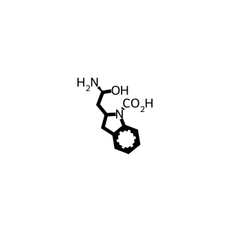 N[C@@H](O)CC1Cc2ccccc2N1C(=O)O